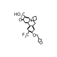 O=C(O)c1cn2c(cc1=O)-c1cc(C(F)(F)F)c(OCC3COC3)cc1CC21CCC1